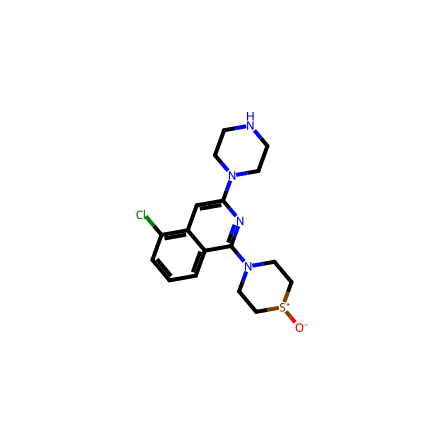 [O-][S+]1CCN(c2nc(N3CCNCC3)cc3c(Cl)cccc23)CC1